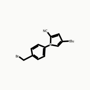 CC(C)(C)c1cc(C#N)n(-c2ccc(CBr)cc2)c1